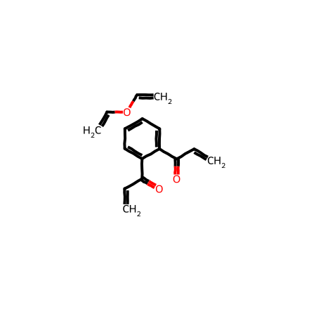 C=CC(=O)c1ccccc1C(=O)C=C.C=COC=C